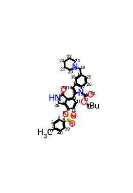 Cc1ccc(S(=O)(=O)Oc2ccc(-c3cc4cc(CN5CCCCC5)ccc4n3C(=O)OC(C)(C)C)c3c2CNC3=O)cc1